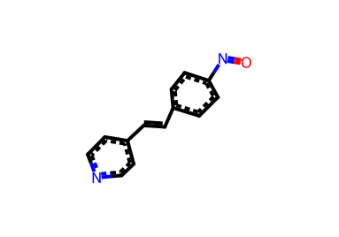 O=Nc1ccc(/C=C/c2ccncc2)cc1